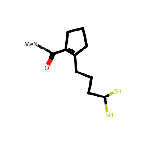 CNC(=O)C1=C(CCCC(S)S)CCC1